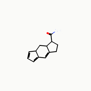 NC(=O)C1CCC2=CC3=CC=CC3CC21